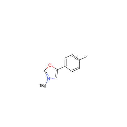 Cc1ccc(-c2c[n+](C(C)(C)C)co2)cc1